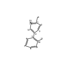 Cc1ccc(-c2ccc[c]c2C)cn1